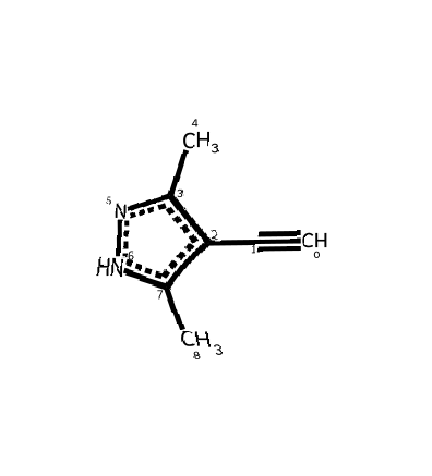 C#Cc1c(C)n[nH]c1C